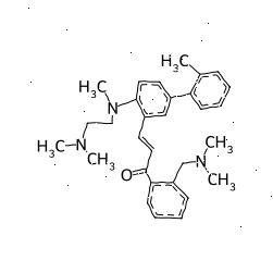 Cc1ccccc1-c1ccc(N(C)CCN(C)C)c(C=CC(=O)c2ccccc2CN(C)C)c1